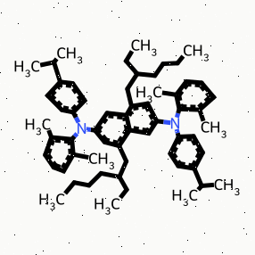 CCCCC(CC)Cc1cc(N(c2ccc(C(C)C)cc2)c2c(C)cccc2C)cc2c(CC(CC)CCCC)cc(N(c3ccc(C(C)C)cc3)c3c(C)cccc3C)cc12